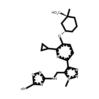 CCCc1nc(NCc2c(-c3ccc(O[C@H]4CCC[C@](C)(C(=O)O)C4)c(C4CC4)n3)nnn2C)no1